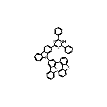 c1ccc(C2=NC(c3ccc4c5ccccc5n(-c5cc(-c6cccc7sc8ccccc8c67)c6sc7ccccc7c6c5)c4c3)=NC(c3ccccc3)N2)cc1